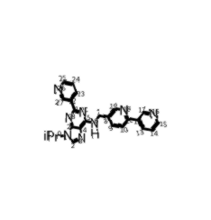 CC(C)n1cnc2c(NCc3ccc(-c4cccnc4)nc3)nc(-c3cccnc3)nc21